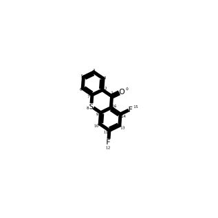 O=c1c2ccccc2sc2cc(F)cc(F)c12